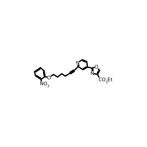 CCOC(=O)c1coc(-c2ccnc(C#CCCCCOc3ccccc3[N+](=O)[O-])c2)n1